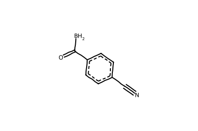 BC(=O)c1ccc(C#N)cc1